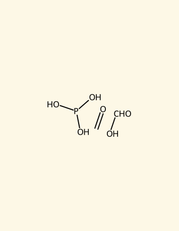 C=O.O=CO.OP(O)O